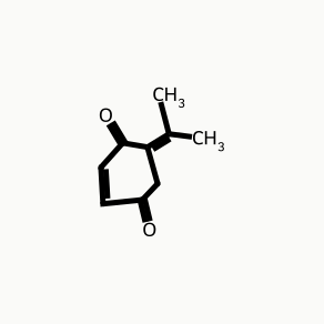 CC(C)=C1CC(=O)C=CC1=O